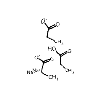 CCC(=O)O.CCC(=O)[O-].CCC(=O)[O-].[Na+].[Na+]